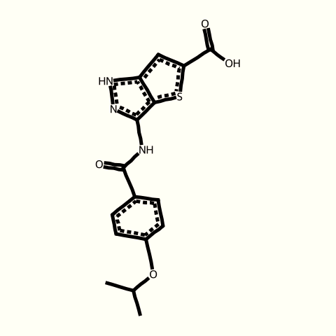 CC(C)Oc1ccc(C(=O)Nc2n[nH]c3cc(C(=O)O)sc23)cc1